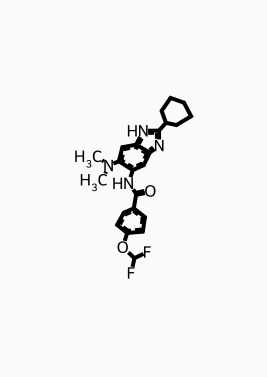 CN(C)c1cc2[nH]c(C3CCCCC3)nc2cc1NC(=O)c1ccc(OC(F)F)cc1